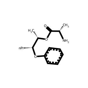 CCC[C@@H](Oc1ccccc1)[C@H](C)OC(=O)[C@H](C)N